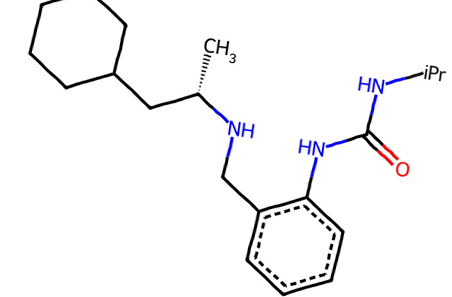 CC(C)NC(=O)Nc1ccccc1CN[C@@H](C)CC1CCCCC1